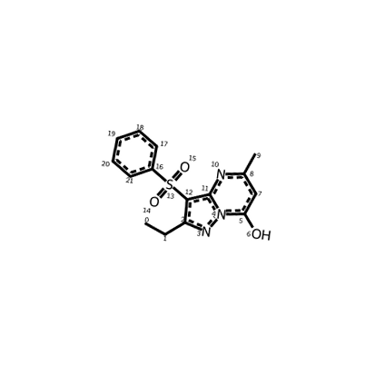 CCc1nn2c(O)cc(C)nc2c1S(=O)(=O)c1ccccc1